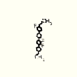 CCCCC1=CCC(C2CCC(c3ccc(C4CCC(CCC)CC4)c(F)c3F)CC2)C=C1F